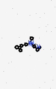 c1ccc(-c2nc(-c3ccc(-c4ccc5c6ccccc6c6ccccc6c5c4)cc3)nc(-c3ccc(-c4cccc5cccnc45)cc3)n2)cc1